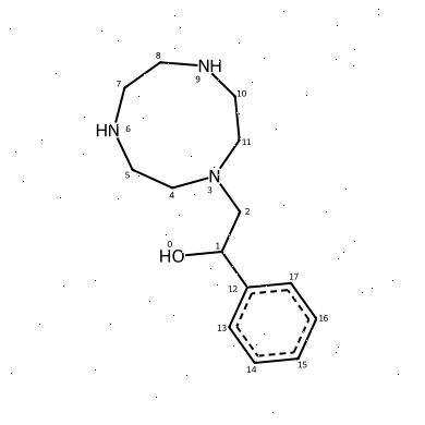 OC(CN1CCNCCNCC1)c1ccccc1